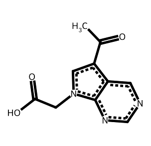 CC(=O)c1cn(CC(=O)O)c2ncncc12